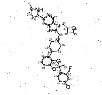 Cc1nnc(-c2cc3nc(CN4CC=C(c5cccc6c5OC(C)(c5ccc(Cl)cc5F)O6)CC4)n(CC4CCO4)c3cn2)[nH]1